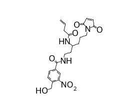 C=CCC(=O)NC(CCCN1C(=O)C=CC1=O)CCNC(=O)c1ccc(CO)c([N+](=O)[O-])c1